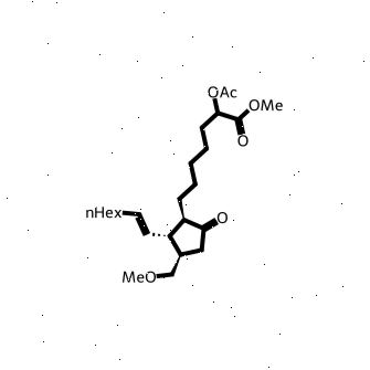 CCCCCCC=C[C@H]1[C@H](COC)CC(=O)[C@@H]1CCCCCC(OC(C)=O)C(=O)OC